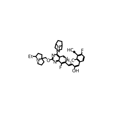 C#Cc1c(F)ccc(/C=C(O)\C=C\c2ncc3c(N4CC5CCC(C4)N5)nc(OCC45CCCN4C(CC)CC5)nc3c2F)c1C